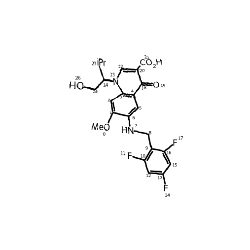 COc1cc2c(cc1NCc1c(F)cc(F)cc1F)c(=O)c(C(=O)O)cn2C(CO)C(C)C